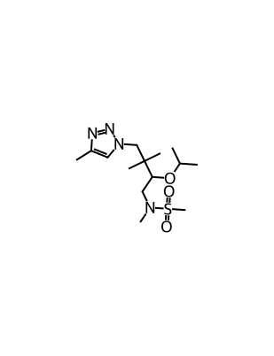 Cc1cn(CC(C)(C)C(CN(C)S(C)(=O)=O)OC(C)C)nn1